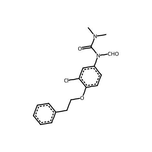 CN(C)C(=O)N(C=O)c1ccc(OCCc2ccccc2)c(Cl)c1